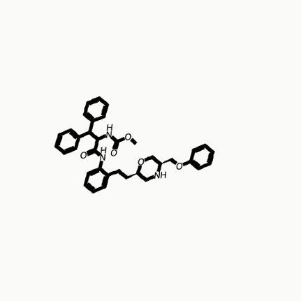 COC(=O)NC(C(=O)Nc1ccccc1CC[C@@H]1CN[C@H](COc2ccccc2)CO1)C(c1ccccc1)c1ccccc1